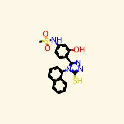 CS(=O)(=O)Nc1ccc(-c2nnc(S)n2-c2cccc3ccccc23)c(O)c1